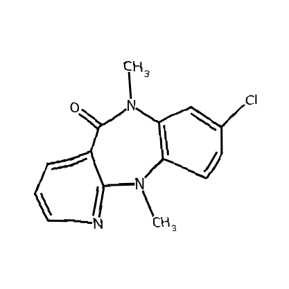 CN1C(=O)c2cccnc2N(C)c2ccc(Cl)cc21